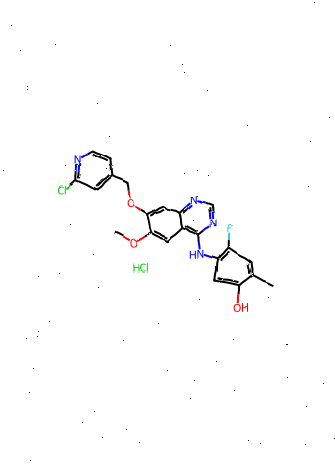 COc1cc2c(Nc3cc(O)c(C)cc3F)ncnc2cc1OCc1ccnc(Cl)c1.Cl